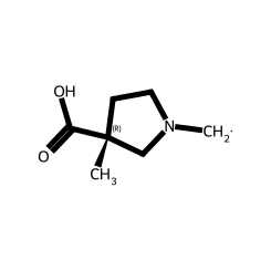 [CH2]N1CC[C@@](C)(C(=O)O)C1